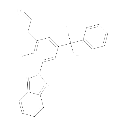 C=CCc1cc(C(C)(C)c2ccccc2)cc(-n2nc3ccccc3n2)c1O